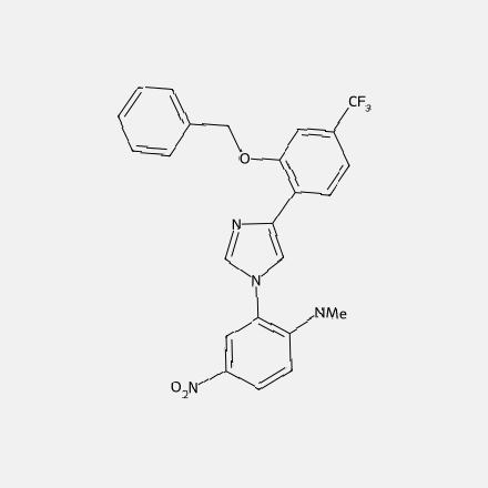 CNc1ccc([N+](=O)[O-])cc1-n1cnc(-c2ccc(C(F)(F)F)cc2OCc2ccccc2)c1